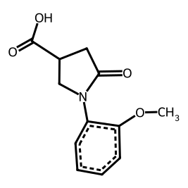 COc1ccccc1N1CC(C(=O)O)CC1=O